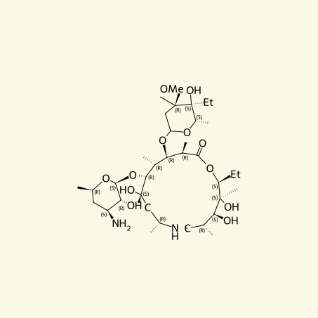 CC[C@@H]1OC(=O)[C@H](C)[C@H](OC2C[C@@](C)(OC)[C@](O)(CC)[C@H](C)O2)[C@@H](C)[C@@H](O[C@@H]2O[C@H](C)C[C@H](N)[C@H]2O)[C@@](C)(O)C[C@@H](C)NC[C@@H](C)[C@H](O)[C@]1(C)O